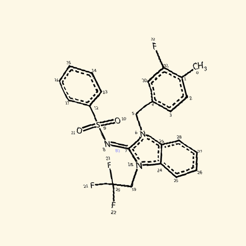 Cc1ccc(Cn2/c(=N\S(=O)(=O)c3ccccc3)n(CC(F)(F)F)c3ccccc32)cc1F